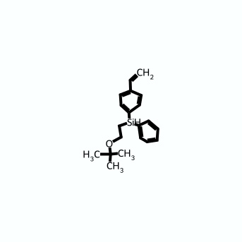 C=Cc1ccc([SiH](CCOC(C)(C)C)c2ccccc2)cc1